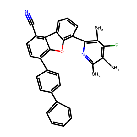 Bc1nc(-c2cccc3c2oc2c(-c4ccc(-c5ccccc5)cc4)ccc(C#N)c23)c(B)c(F)c1B